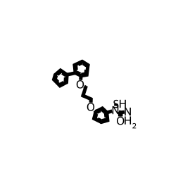 NC(=O)N(S)c1cccc(OCCCOc2ccccc2-c2ccccc2)c1